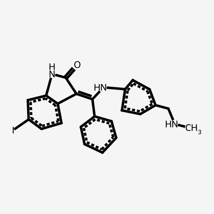 CNCc1ccc(N/C(=C2\C(=O)Nc3cc(I)ccc32)c2ccccc2)cc1